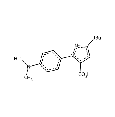 CN(C)c1ccc(-n2nc(C(C)(C)C)cc2C(=O)O)cc1